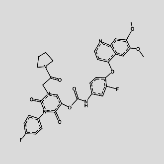 COc1cc2nccc(Oc3ccc(NC(=O)Oc4cn(CC(=O)N5CCCC5)c(=O)n(-c5ccc(F)cc5)c4=O)cc3F)c2cc1OC